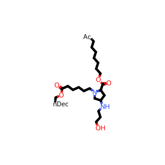 CCCCCCCCCCCOC(=O)CCCCCN1CC(NCCCO)CC1C(=O)OCCCCCCCC(C)=O